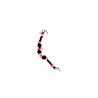 C=C=COOCCCCCCOc1ccc(OCOc2ccc(OC(=O)c3ccc(OCCCCCCOC(=O)C=C)cc3)cc2)cc1